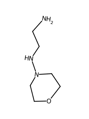 NCCNN1CCOCC1